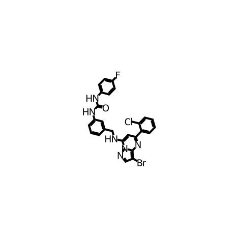 O=C(Nc1ccc(F)cc1)Nc1cccc(CNc2cc(-c3ccccc3Cl)nc3c(Br)cnn23)c1